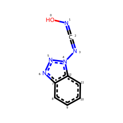 ON=C=Nn1nnc2ccccc21